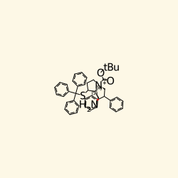 CC(C)(C)OC(=O)[N@@+]1(CC(c2ccccc2)c2ccccc2)CCC(SC(c2ccccc2)(c2ccccc2)c2ccccc2)[C@@H]1CN